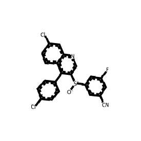 N#Cc1cc(F)cc([S+]([O-])c2cnc3cc(Cl)ccc3c2-c2ccc(Cl)cc2)c1